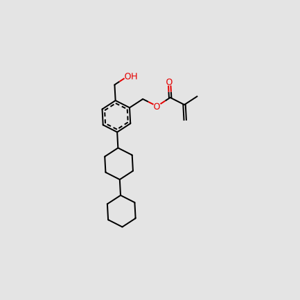 C=C(C)C(=O)OCc1cc(C2CCC(C3CCCCC3)CC2)ccc1CO